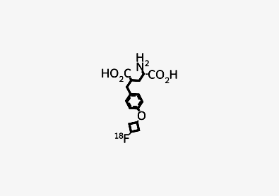 N[C@@H](CC(Cc1ccc(O[C@H]2C[C@@H]([18F])C2)cc1)C(=O)O)C(=O)O